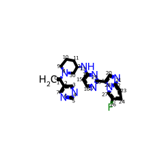 C=C(c1cncnc1)N1CCC[C@@H](Nc2ccnc(-c3cnc4ccc(F)cn34)n2)C1